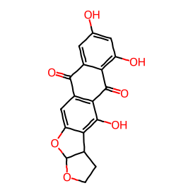 O=C1c2cc(O)cc(O)c2C(=O)c2c1cc1c(c2O)C2CCOC2O1